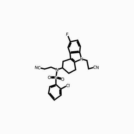 N#CCCN(C1CCc2c(c3cc(F)ccc3n2CCC#N)C1)S(=O)(=O)c1ccccc1Cl